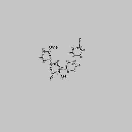 COc1cc(-c2cc(=O)n(C)c(N3CCO[C@@H](c4ccc(F)cc4)C3)n2)ccn1